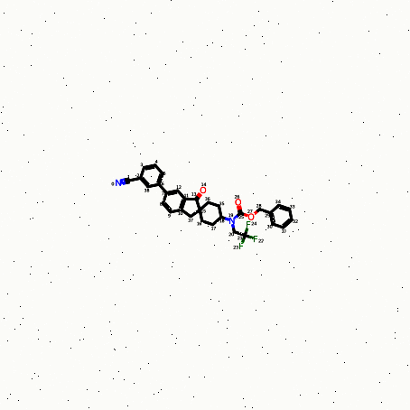 N#Cc1cccc(-c2ccc3c(c2)C(=O)C2(CCC(N(CC(F)(F)F)C(=O)OCc4ccccc4)CC2)C3)c1